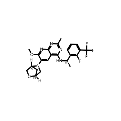 COc1nc2nc(C)nc(N[C@H](C)c3cccc(C(F)(F)F)c3F)c2cc1N1C[C@H]2C[C@@H]1CO2